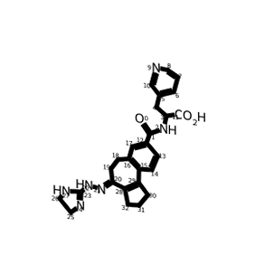 O=C(NC(Cc1cccnc1)C(=O)O)c1ccc2c(c1)CCC(=NNC1=NCCN1)C1=C2CCC1